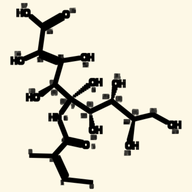 CC=C(C)C(=O)N[C@@](O)([C@@H](O)C(O)=C(O)C(=O)O)[C@@H](O)[C@H](O)[C@H](O)CO